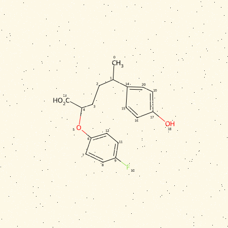 CC(CCC(Oc1ccc(F)cc1)C(=O)O)c1ccc(O)cc1